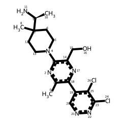 Cc1nc(N2CCC(C)([C@H](C)N)CC2)c(CO)nc1-c1cnnc(Cl)c1Cl